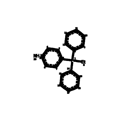 CC[P](c1ccccc1)(c1ccccc1)c1ccccc1.N